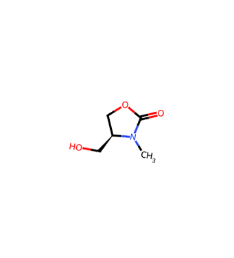 CN1C(=O)OC[C@@H]1CO